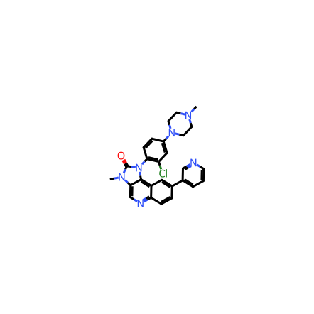 CN1CCN(c2ccc(-n3c(=O)n(C)c4cnc5ccc(-c6cccnc6)cc5c43)c(Cl)c2)CC1